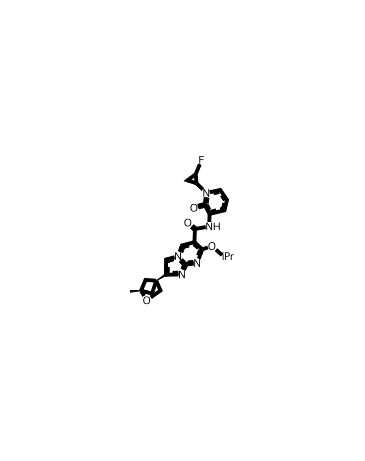 CC(C)Oc1nc2nc([C@]34CO[C@](C)(C3)C4)cn2cc1C(=O)Nc1cccn(C2CC2F)c1=O